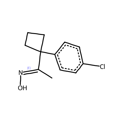 C/C(=N\O)C1(c2ccc(Cl)cc2)CCC1